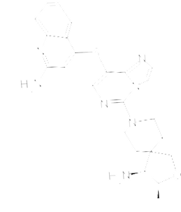 C[C@@H]1OCC2(CCN(c3ncc(Sc4cc(N)nc5ccccc45)c4nccn34)CC2)[C@@H]1N